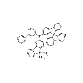 CC1(C)c2ccccc2-c2cc(N(c3cccc(-c4ccccc4)c3)c3ccc4c(c3)C3(c5ccccc5-c5ccccc53)c3ccccc3-4)ccc21